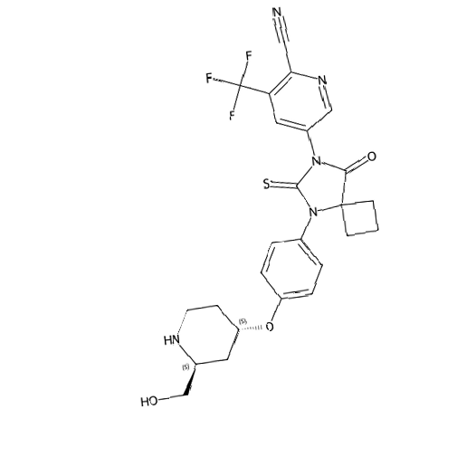 N#Cc1ncc(N2C(=O)C3(CCC3)N(c3ccc(O[C@H]4CCN[C@H](CO)C4)cc3)C2=S)cc1C(F)(F)F